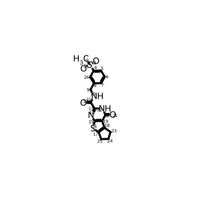 CS(=O)(=O)c1cccc(CNC(=O)c2nc3sc4c(c3c(=O)[nH]2)CCC4)c1